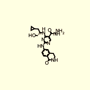 NNC(=O)c1cnc(Nc2ccc3c(c2)CCNC3=O)nc1N[C@H](CO)CC1CC1